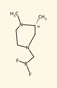 C[C@@H]1CN(CB(F)F)CCN1C